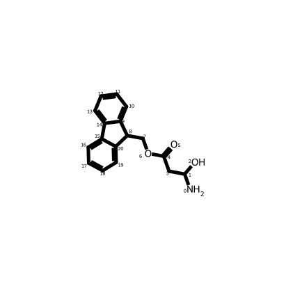 NC(O)CC(=O)OCC1c2ccccc2-c2ccccc21